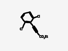 CCOC(=O)C#Cc1c(Cl)cccc1Cl